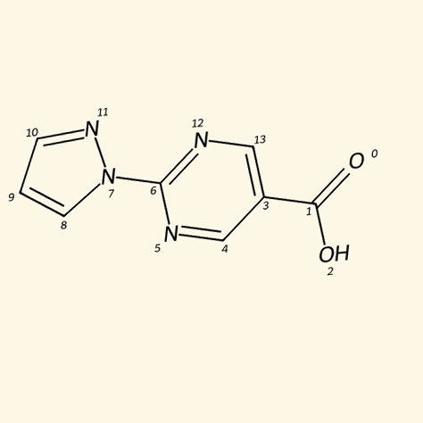 O=C(O)c1cnc(-n2cccn2)nc1